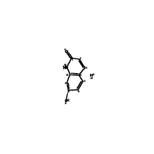 O=c1ccc2ccc(O)cc2[nH]1.[H+]